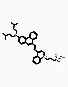 CC(C)CCN(CCC(C)C)c1ccc2cc(/C=C/c3cc[n+](CCCS(=O)(=O)O)c4ccccc34)c3ccccc3c2c1